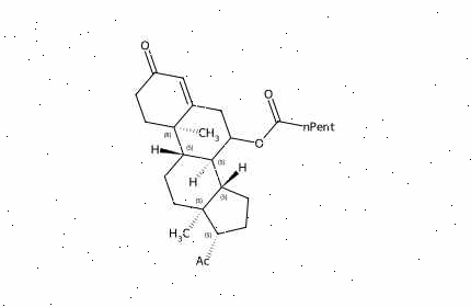 CCCCCC(=O)OC1CC2=CC(=O)CC[C@]2(C)[C@H]2CC[C@]3(C)[C@@H](C(C)=O)CC[C@H]3[C@H]12